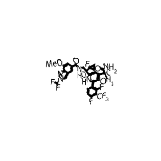 COc1cc(C(=O)NCC(O)(c2cc3c(c(-c4ccc(F)c(C(F)(F)F)c4F)n2)OC[C@]3(C)C(N)=O)C2(F)CC2)cc2cn(C(F)F)nc12